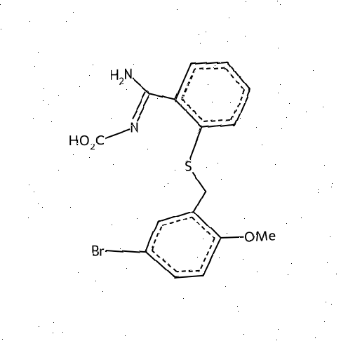 COc1ccc(Br)cc1CSc1ccccc1C(N)=NC(=O)O